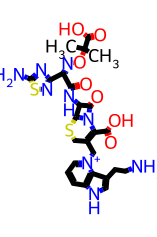 CC(C)(O/N=C(\C(=O)NC1C(=O)N2C(C(=O)O)=C(C[n+]3cccc4[nH]cc(CCN)c43)CSC12)c1nsc(N)n1)C(=O)O